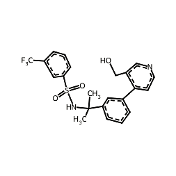 CC(C)(NS(=O)(=O)c1cccc(C(F)(F)F)c1)c1cccc(-c2ccncc2CO)c1